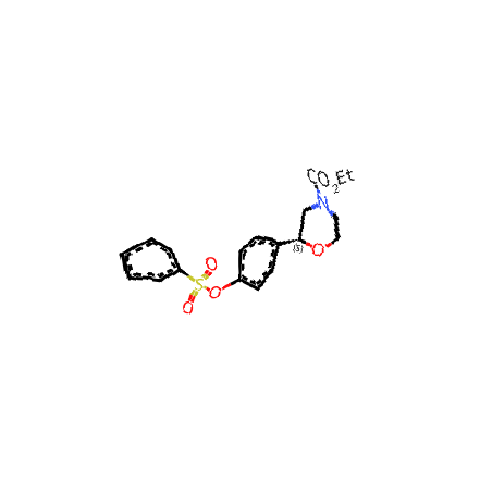 CCOC(=O)N1CCO[C@@H](c2ccc(OS(=O)(=O)c3ccccc3)cc2)C1